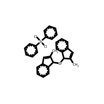 CC1=Cc2ccccc2[CH]1[Zr][CH]1C(C)=Cc2ccccc21.Cl[Si](Cl)(c1ccccc1)c1ccccc1